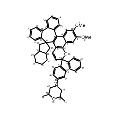 COc1cc2c3c(c4c(c2cc1OC)-c1ccccc1-c1ccccc1C41CC2CCCCC2C1)C=CC(c1ccccc1)(c1ccc(N2CC(C)OC(C)C2)cc1)O3